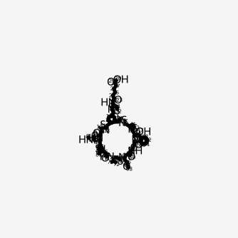 CNC(=O)C[C@@H]1NC(=O)c2csc(n2)-c2ccc(-c3nc(NC(=O)CCCCC(=O)O)cs3)nc2-c2csc(n2)-c2csc(n2)[C@H]([C@@H](O)c2ccccc2)NC(=O)CNC(=O)c2nc(sc2COC)[C@@H](C(C)C)NC(=O)c2nc1sc2C